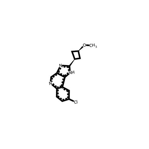 CO[C@H]1C[C@@H](c2nc3cnc4ccc(Cl)cc4c3[nH]2)C1